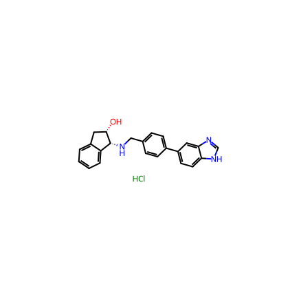 Cl.O[C@H]1Cc2ccccc2[C@H]1NCc1ccc(-c2ccc3[nH]cnc3c2)cc1